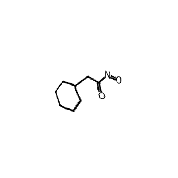 O=NC(=O)CC1CCCCC1